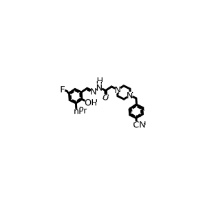 CCCc1cc(F)cc(C=NNC(=O)CN2CCN(Cc3ccc(C#N)cc3)CC2)c1O